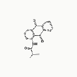 C=C(C)C(=O)Nc1cccc2c1C(=O)c1ccccc1C2=O